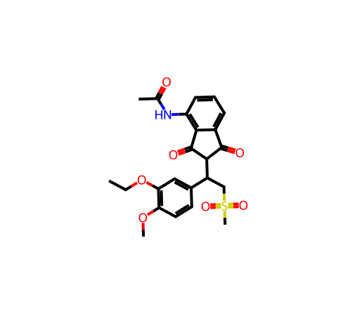 CCOc1cc(C(CS(C)(=O)=O)C2C(=O)c3cccc(NC(C)=O)c3C2=O)ccc1OC